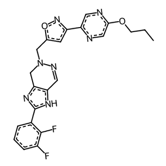 CCCOc1cnc(-c2cc(CN3Cc4nc(-c5cccc(F)c5F)[nH]c4C=N3)on2)cn1